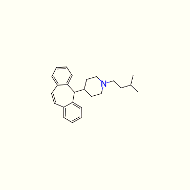 CC(C)CCN1CCC(C2c3ccccc3C=Cc3ccccc32)CC1